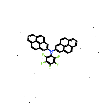 Fc1c(F)c(F)c(N(c2cc3ccc4cccc5ccc(c2)c3c45)c2cc3ccc4cccc5ccc(c2)c3c45)c(F)c1F